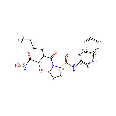 CCCCC(C(=O)N1CCC[C@H]1C(=O)Nc1cnc2ccccc2c1)C(O)C(=O)NO